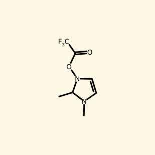 CC1N(C)C=CN1OC(=O)C(F)(F)F